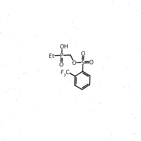 CCP(=O)(O)COS(=O)(=O)c1ccccc1C(F)(F)F